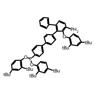 CC(C)(C)c1ccc(Oc2c(P)ccc(-c3ccccc3)c2-c2ccc(-c3ccc(P(Oc4ccc(C(C)(C)C)cc4C(C)(C)C)Oc4ccc(C(C)(C)C)cc4C(C)(C)C)cc3)cc2)c(C(C)(C)C)c1